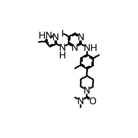 Cc1cc(Nc2nc(Nc3cc(C)c(C4CCN(C(=O)N(C)C)CC4)cc3C)ncc2I)n[nH]1